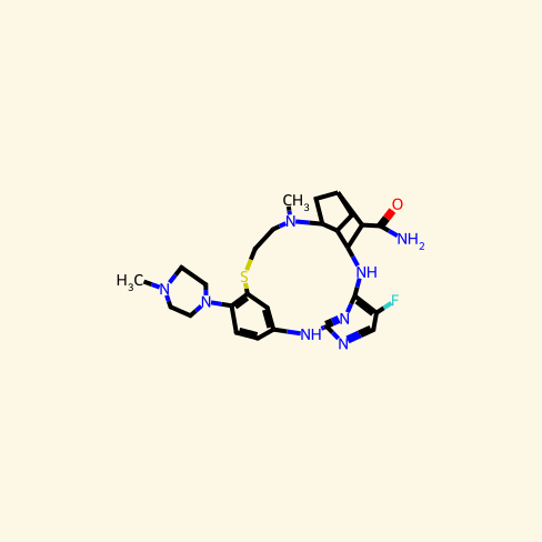 CN1CCN(c2ccc3cc2SCCN(C)C2CC4CC2C(Nc2nc(ncc2F)N3)C4C(N)=O)CC1